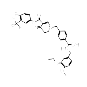 CCOc1cc(CNC(O)c2ccc(CN3C=C4C(=O)N(c5ccc(F)c(C(F)(F)F)c5)N=C4CC3)cc2)ccc1OC